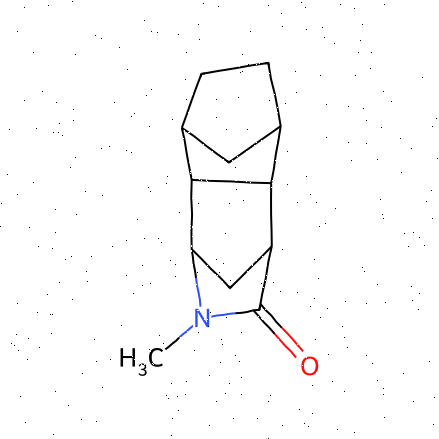 CN1C(=O)C2CC1C1C3CCC(C3)C21